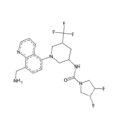 NCc1ccc(N2CC(NC(=O)N3CC(F)C(F)C3)CC(C(F)(F)F)C2)c2cccnc12